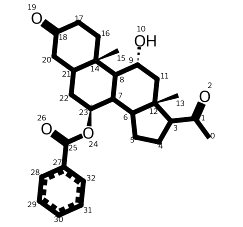 CC(=O)C1CCC2C3C([C@H](O)C[C@]12C)[C@@]1(C)CCC(=O)CC1C[C@@H]3OC(=O)c1ccccc1